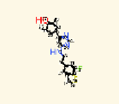 Cc1cc(-c2cc(NCCc3cc(F)c4sccc4c3)ncn2)cc(C)c1O